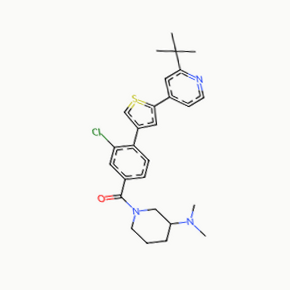 CN(C)C1CCCN(C(=O)c2ccc(-c3csc(-c4ccnc(C(C)(C)C)c4)c3)c(Cl)c2)C1